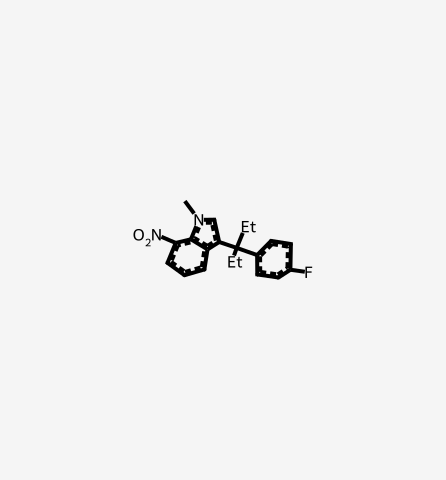 CCC(CC)(c1ccc(F)cc1)c1cn(C)c2c([N+](=O)[O-])cccc12